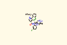 COc1cccc(F)c1-c1nccc(C(=O)Nc2cc(F)ccc2N2C[C@@H]3C[C@H]2CN3)c1F